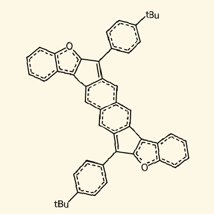 CC(C)(C)c1ccc(C2=c3cc4cc5c(cc4cc3-c3c2oc2ccccc32)=C(c2ccc(C(C)(C)C)cc2)c2oc3ccccc3c2-5)cc1